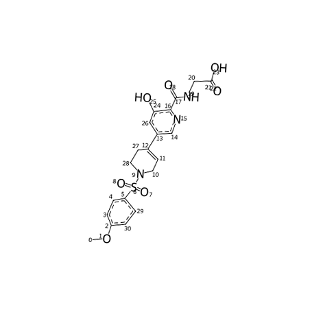 COc1ccc(S(=O)(=O)N2CC=C(c3cnc(C(=O)NCC(=O)O)c(O)c3)CC2)cc1